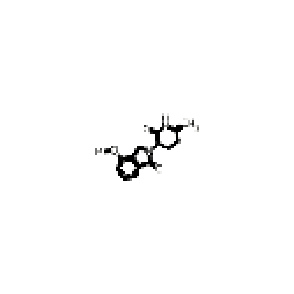 C=C1CCC(N2Cc3c(OC(C)C)cccc3C2=O)C(=O)N1